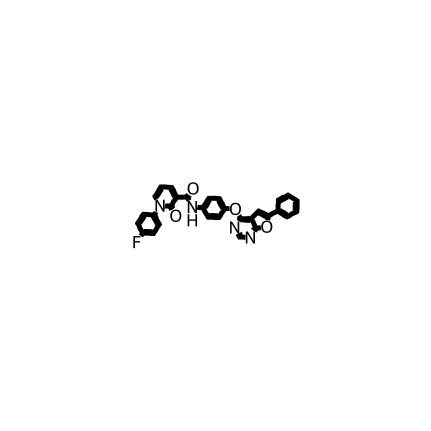 O=C(Nc1ccc(Oc2ncnc3oc(-c4ccccc4)cc23)cc1)c1cccn(-c2ccc(F)cc2)c1=O